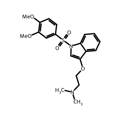 COc1ccc(S(=O)(=O)n2cc(OCCN(C)C)c3ccccc32)cc1OC